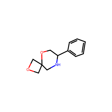 c1ccc(C2COC3(CN2)COC3)cc1